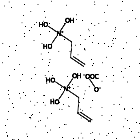 C=CC[N+](O)(O)O.C=CC[N+](O)(O)O.O=C([O-])[O-]